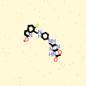 COc1ccc2ccc(F)c(CNC3CCC(NCc4cnc5c(n4)NC(=O)CO5)CC3)c2n1